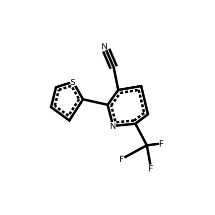 N#Cc1ccc(C(F)(F)F)nc1-c1cccs1